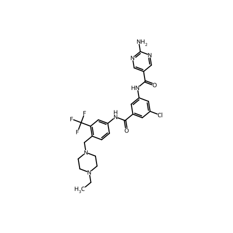 CCN1CCN(Cc2ccc(NC(=O)c3cc(Cl)cc(NC(=O)c4cnc(N)nc4)c3)cc2C(F)(F)F)CC1